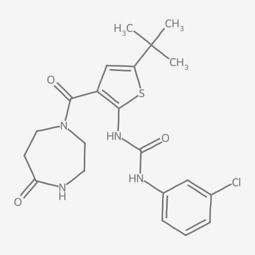 CC(C)(C)c1cc(C(=O)N2CCNC(=O)CC2)c(NC(=O)Nc2cccc(Cl)c2)s1